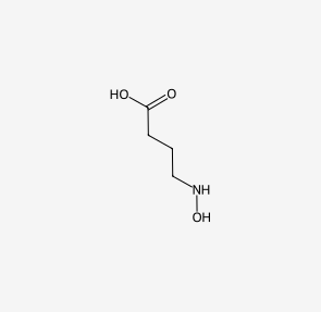 O=C(O)CCCNO